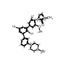 CC(C)Oc1cc(-c2cc(F)cc(-c3cccc(N4CCN(C(C)(C)C)CC4)c3)c2O)cc(Cl)c1-n1ccn(C)c1=O